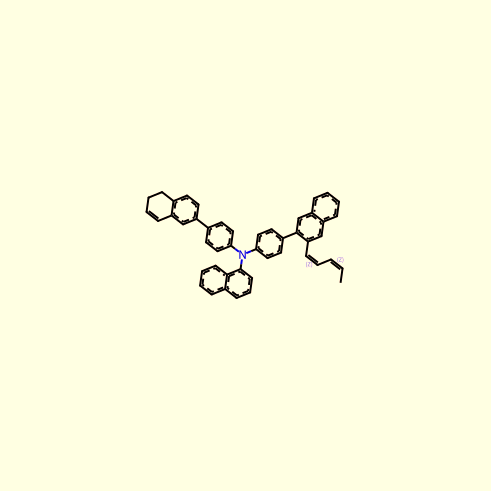 C/C=C\C=C/c1cc2ccccc2cc1-c1ccc(N(c2ccc(-c3ccc4c(c3)C=CCC4)cc2)c2cccc3ccccc23)cc1